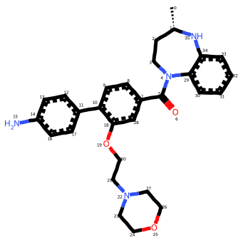 C[C@H]1CCN(C(=O)c2ccc(-c3ccc(N)cc3)c(OCCN3CCOCC3)c2)c2ccccc2N1